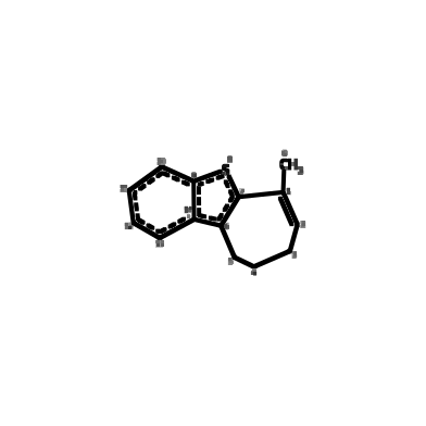 CC1=CCCCc2c1sc1ccccc21